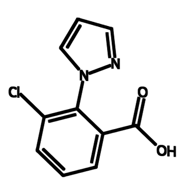 O=C(O)c1cccc(Cl)c1-n1cccn1